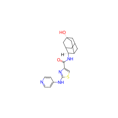 O=C(N[C@H]1C2CC3CC1C[C@](O)(C3)C2)c1csc(Nc2ccncc2)n1